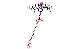 CC(C)(C)c1cc(CCC(=O)OCCCCCCCCCCOC=O)cc(C(C)(C)C)c1N=O